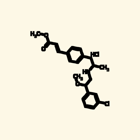 COC(=O)C=Cc1ccc(CC(C)NCC(OC)c2cccc(Cl)c2)cc1.Cl